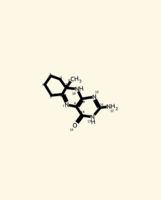 CC12CCCCC1=Nc1c(nc(N)[nH]c1=O)N2